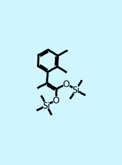 CC(=C(O[Si](C)(C)C)O[Si](C)(C)C)c1cccc(C)c1C